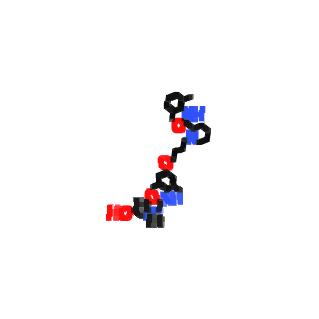 CC[N+](CC)(CCO)CC(=O)Nc1c(C)cc(OCCCCN2CCCCC2C(=O)Nc2c(C)cccc2C)cc1C